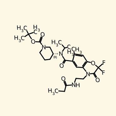 CCC(=O)NCCN1C(=O)C(F)(F)Oc2cc(C)c(C(=O)N(C(C)C)[C@@H]3CCCN(C(=O)OC(C)(C)C)C3)cc21